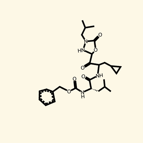 CC(C)C[C@H](NC(=O)OCc1ccccc1)C(=O)NC(CC1CC1)C(=O)C1NN(CC(C)C)C(=O)O1